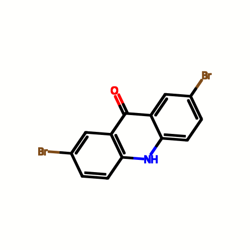 O=c1c2cc(Br)ccc2[nH]c2ccc(Br)cc12